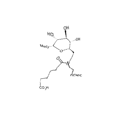 CCCCCCCCCCCN(C[C@H]1O[C@H](OC)[C@H](O)[C@@H](O)[C@@H]1O)C(=O)CCCCC(=O)O